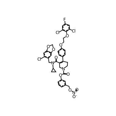 O=C(Oc1cccc(CO[N+](=O)[O-])c1)N1CCC(c2ccc(OCCOc3c(Cl)cc(F)cc3Cl)cc2)=C(C(=O)N(Cc2cc3c(cc2Cl)OCO3)C2CC2)C1